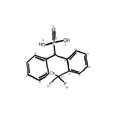 O=P(O)(O)C(c1ccccc1)c1ccccc1C(F)(F)F